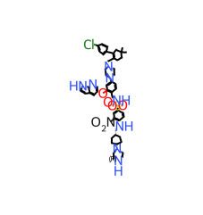 C[C@@H]1CN([C@H]2CC[C@@H](CNc3ccc(S(=O)(=O)NC(=O)c4ccc(N5CCN(CC6=C(c7ccc(Cl)cc7)CC(C)(C)CC6)CC5)cc4Oc4cnc5[nH]ccc5c4)cc3[N+](=O)[O-])CC2)CCN1